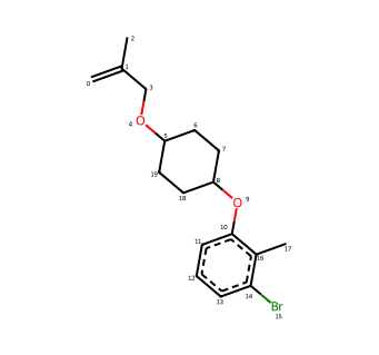 C=C(C)COC1CCC(Oc2cccc(Br)c2C)CC1